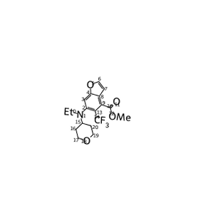 CCN(c1cc2occc2c(C(=O)OC)c1C(F)(F)F)C1CCOCC1